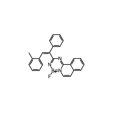 Cc1ccccc1\C=C(C(=N/B(F)F)/N=c1/c2ccccc2ccn1C)\c1ccccc1